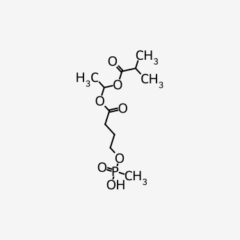 CC(OC(=O)CCCOP(C)(=O)O)OC(=O)C(C)C